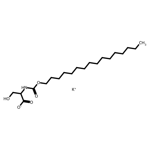 CCCCCCCCCCCCCCCCOC(=O)NC(CO)C(=O)[O-].[K+]